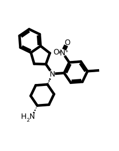 Cc1ccc(N(C2Cc3ccccc3C2)[C@H]2CC[C@@H](N)CC2)c([N+](=O)[O-])c1